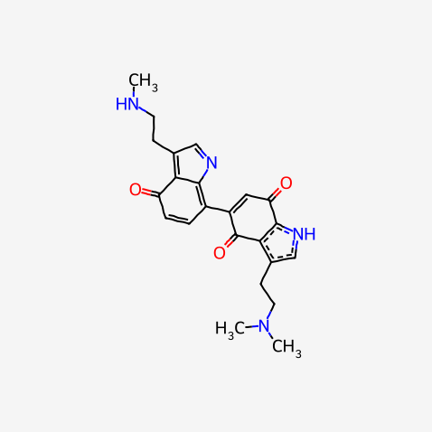 CNCCC1=C2C(=O)C=CC(C3=CC(=O)c4[nH]cc(CCN(C)C)c4C3=O)=C2N=C1